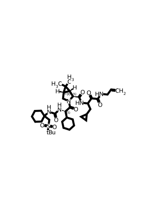 C=CCNC(=O)C(=O)C(CC1CC1)NC(=O)[C@@H]1[C@@H]2[C@H](CN1C(=O)[C@@H](NC(=O)NC1(CS(=O)(=O)C(C)(C)C)CCCCC1)C1CCCCC1)C2(C)C